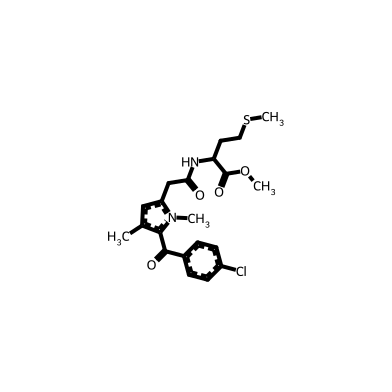 COC(=O)C(CCSC)NC(=O)Cc1cc(C)c(C(=O)c2ccc(Cl)cc2)n1C